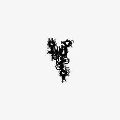 O=C(N[C@H]1CCN(C2CCCC2)C[C@@H]1C(=O)NC1(c2ccncc2)CC1)c1cc(-c2ccc(F)cc2F)on1